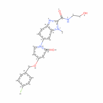 Cn1c(C(=O)NCCO)nc2ccc(-n3ccc(OCc4ccc(F)cc4)cc3=O)cc21